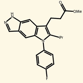 COC(=O)CCc1c(C(C)C)n(-c2ccc(F)cc2)c2cc3cn[nH]c3cc12